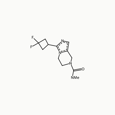 CNC(=O)N1CCn2c(cnc2C2CC(F)(F)C2)C1